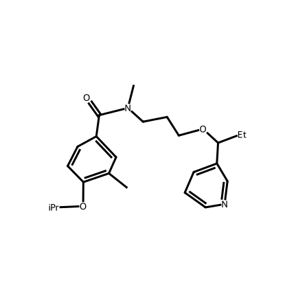 CCC(OCCCN(C)C(=O)c1ccc(OC(C)C)c(C)c1)c1cccnc1